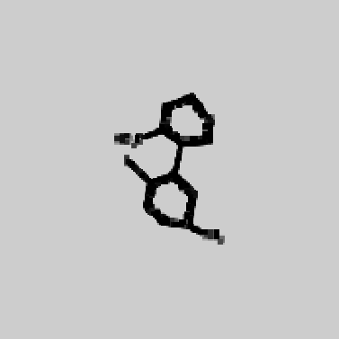 Nc1ccc(I)c(-c2cnccc2C(=O)O)c1